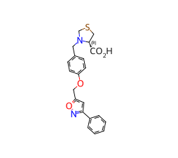 O=C(O)[C@@H]1CSCN1Cc1ccc(OCc2cc(-c3ccccc3)no2)cc1